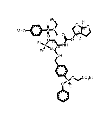 CCOC(=O)COP(=O)(Oc1ccccc1)c1ccc(CNC[C@H](NC(=O)O[C@H]2CO[C@H]3OCC[C@H]32)[C@@H](CN(CC(C)C)S(=O)(=O)c2ccc(OC)cc2)O[Si](CC)(CC)CC)cc1